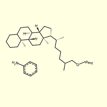 CCCCCOCC(C)CCC[C@@H](C)[C@H]1CC[C@H]2[C@@H]3CCC4CCCC[C@]4(C)[C@H]3CC[C@]12C.Nc1ccccc1